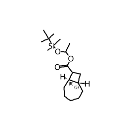 CC(OC(=O)C1C[C@@H]2CCCCC[C@@H]12)O[Si](C)(C)C(C)(C)C